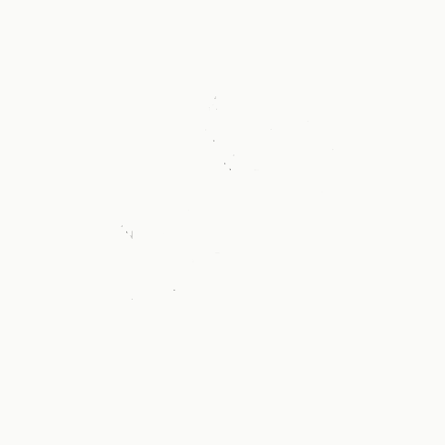 Cc1c(-c2ncc(F)cc2F)ccc(=O)n1-c1ccccc1